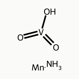 N.[Mn].[O]=[V](=[O])[OH]